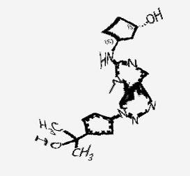 CC(C)(O)c1ccc(-n2nnc3cnc(N[C@H]4CC[C@H](O)C4)nc32)cc1